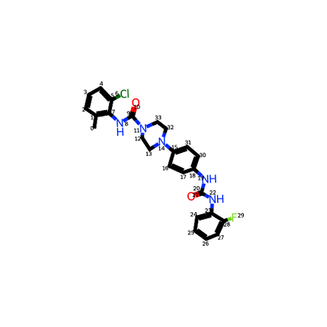 Cc1cccc(Cl)c1NC(=O)N1CCN(c2ccc(NC(=O)Nc3ccccc3F)cc2)CC1